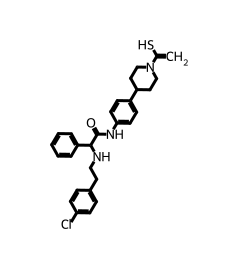 C=C(S)N1CCC(c2ccc(NC(=O)C(NCCc3ccc(Cl)cc3)c3ccccc3)cc2)CC1